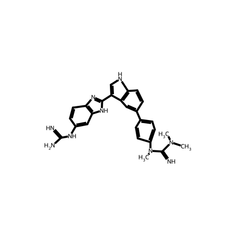 CN(C)C(=N)N(C)c1ccc(-c2ccc3[nH]cc(-c4nc5ccc(NC(=N)N)cc5[nH]4)c3c2)cc1